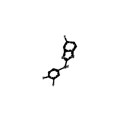 Fc1ccc2nc(Nc3ccc(F)c(F)c3)oc2c1